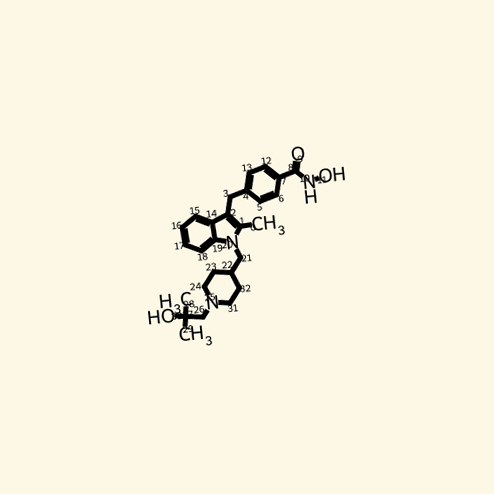 Cc1c(Cc2ccc(C(=O)NO)cc2)c2ccccc2n1CC1CCN(CC(C)(C)O)CC1